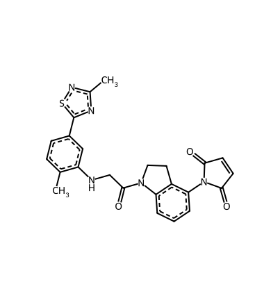 Cc1nsc(-c2ccc(C)c(NCC(=O)N3CCc4c3cccc4N3C(=O)C=CC3=O)c2)n1